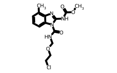 COC(=O)Nc1nc2c(C)cccc2n1C(=O)NCOCCCl